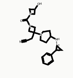 N#CCC1(N2CCC(N[C@@H]3CC3c3ccccc3)CC2)CN(C(=O)N2CC(O)C2)C1